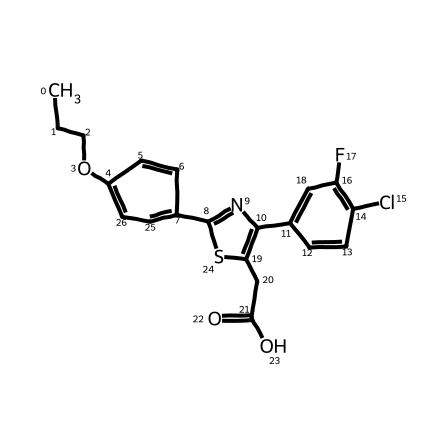 CCCOc1ccc(-c2nc(-c3ccc(Cl)c(F)c3)c(CC(=O)O)s2)cc1